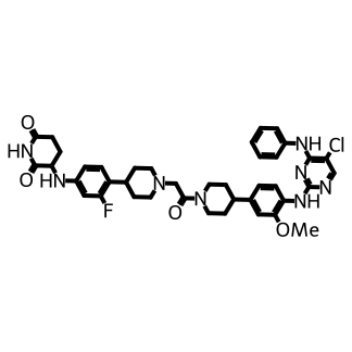 COc1cc(C2CCN(C(=O)CN3CCC(c4ccc(NC5CCC(=O)NC5=O)cc4F)CC3)CC2)ccc1Nc1ncc(Cl)c(Nc2ccccc2)n1